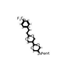 CCCCCC1COC(C2COC(CCc3ccc(C(F)(F)F)cc3)OC2)OC1